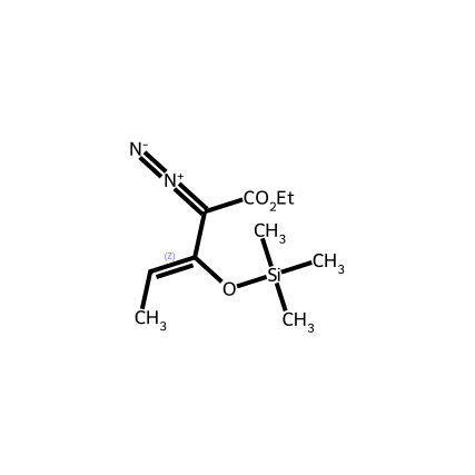 C/C=C(\O[Si](C)(C)C)C(=[N+]=[N-])C(=O)OCC